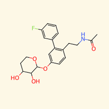 CC(=O)NCCc1ccc(OC2OCCC(O)C2O)cc1-c1cccc(F)c1